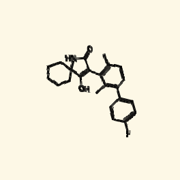 Cc1ccc(-c2ccc(F)cc2)c(C)c1C1=C(O)C2(CCCCC2)NC1=O